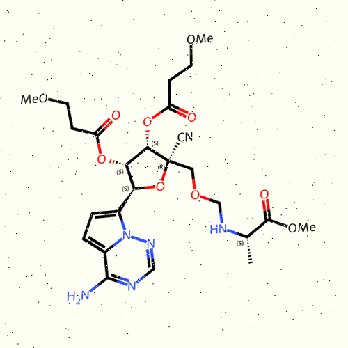 COCCC(=O)O[C@H]1[C@H](c2ccc3c(N)ncnn23)O[C@](C#N)(COCN[C@@H](C)C(=O)OC)[C@H]1OC(=O)CCOC